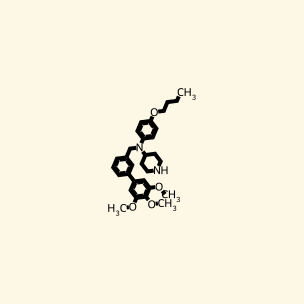 CCCCOc1ccc(N(Cc2cccc(-c3cc(OC)c(OC)c(OC)c3)c2)C2CCNCC2)cc1